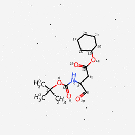 CC(C)(C)OC(=O)NC(C=O)CC(=O)OC1CCCCC1